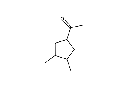 CC(=O)C1CC(C)C(C)C1